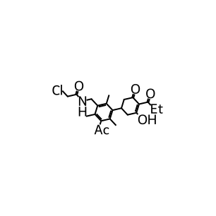 CCC(=O)C1=C(O)CC(c2c(C)c(CNC(=O)CCl)c(C)c(C(C)=O)c2C)CC1=O